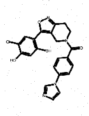 O=C(c1ccc(-n2ccnc2)cc1)N1CCc2noc(-c3cc(Cl)c(O)cc3O)c2C1